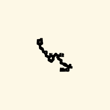 CCN(CC=CC#CC(C)(C)OC)Cc1cccc(COCC=Cc2ccsc2)n1